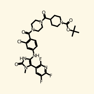 Cn1c(-c2cc(F)c(F)nc2F)c(Nc2ccc(C(=O)N3CCN(C(=O)C4CCN(C(=O)OC(C)(C)C)CC4)CC3)c(Cl)c2)[nH]c1=O